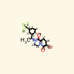 CC(c1cccc(C(F)(F)F)c1)N1CCn2c(ccc(Br)c2=O)C1=O